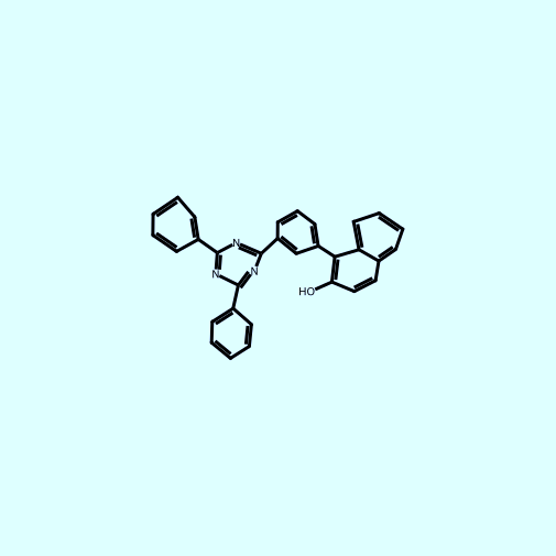 Oc1ccc2ccccc2c1-c1cccc(-c2nc(-c3ccccc3)nc(-c3ccccc3)n2)c1